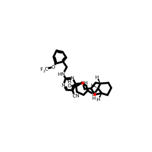 N#Cc1cnc(NCc2ccccc2OC(F)(F)F)nc1NCC1C[C@H]2CCC[C@@H](C1)[C@@H]2NC1CCC(O)CC1